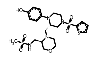 CS(=O)(=O)NC[C@@H]1COCCN1C[C@H]1CN(S(=O)(=O)c2cccs2)CCN1c1ccc(O)cc1